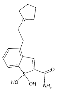 NC(=O)C1=Cc2c(CCN3CCCC3)cccc2S1(O)O